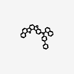 c1ccc(-c2ccc(N(c3ccc4c(c3)oc3ccc5c6ccc7ccccc7c6sc5c34)c3cccc4ccccc34)cc2)cc1